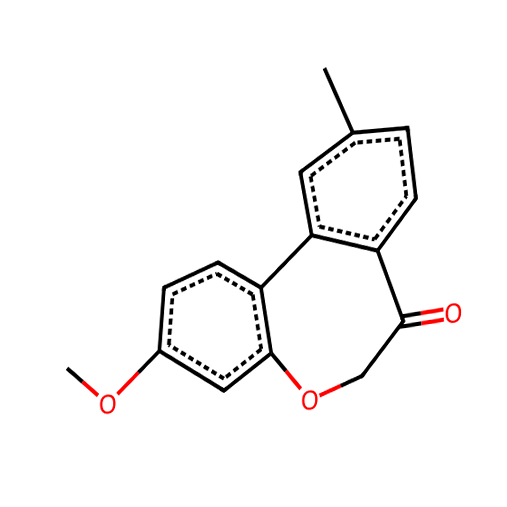 COc1ccc2c(c1)OCC(=O)c1ccc(C)cc1-2